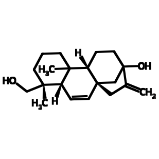 C=C1C[C@@]23C=C[C@H]4C(C)(CCC[C@@]4(C)CO)[C@@H]2CCC1(O)C3